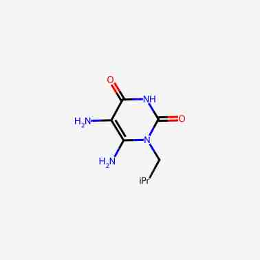 CC(C)Cn1c(N)c(N)c(=O)[nH]c1=O